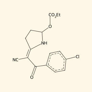 CCOC(=O)OC1CCC(=C(C#N)C(=O)c2ccc(Cl)cc2)N1